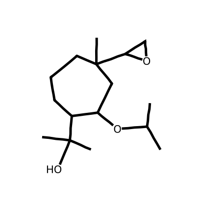 CC(C)OC1CC(C)(C2CO2)CCCC1C(C)(C)O